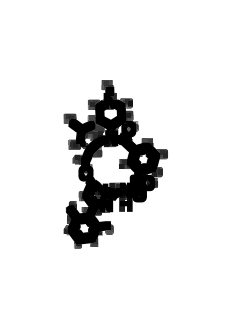 Cc1cccc(C)c1-c1cc2nc(n1)NS(=O)(=O)c1cccc(c1)C(=O)N(C1CCN(C)CC1)C[C@@H](CC(C)C)CO2